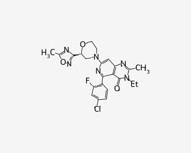 CCn1c(C)nc2cc(N3CCO[C@H](c4noc(C)n4)C3)nc(-c3ccc(Cl)cc3F)c2c1=O